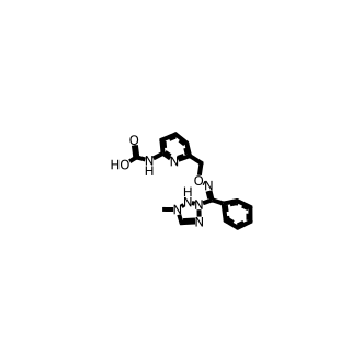 CN1C=NN(/C(=N\OCc2cccc(NC(=O)O)n2)c2ccccc2)N1